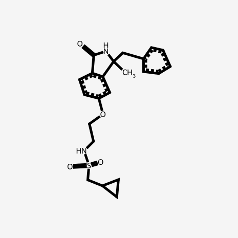 CC1(Cc2ccccc2)NC(=O)c2ccc(OCCNS(=O)(=O)CC3CC3)cc21